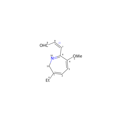 CCC1=CC=C(OC)C(/C=C\C=O)=NC1